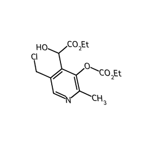 CCOC(=O)Oc1c(C)ncc(CCl)c1C(O)C(=O)OCC